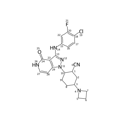 N#CC1CC(N2CCC2)CCC1n1nc(Nc2ccc(Cl)c(F)c2)c2c(=O)[nH]ccc21